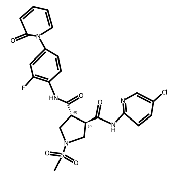 CS(=O)(=O)N1C[C@H](C(=O)Nc2ccc(Cl)cn2)[C@@H](C(=O)Nc2ccc(-n3ccccc3=O)cc2F)C1